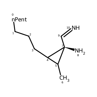 CCCCCCCCC1C(C)[C@@]1(N)C=N